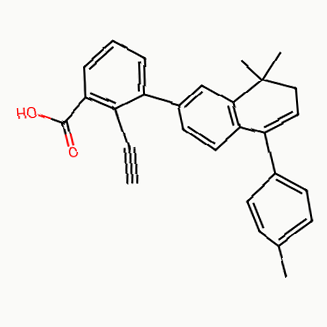 C#Cc1c(C(=O)O)cccc1-c1ccc2c(c1)C(C)(C)CC=C2c1ccc(C)cc1